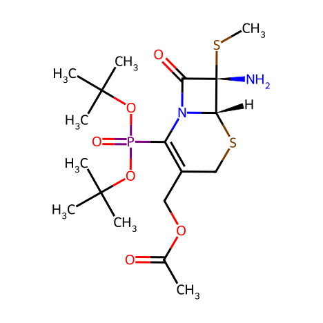 CS[C@@]1(N)C(=O)N2C(P(=O)(OC(C)(C)C)OC(C)(C)C)=C(COC(C)=O)CS[C@H]21